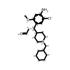 COc1cc(N)c(Cl)cc1[C@@H](CC=O)C1CCN(CC2CCCCC2)CC1